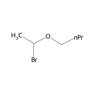 CCCCOC(C)Br